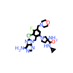 Nc1ncnc2c1ncn2Cc1c(N2CCC(N)(C(=O)NC3CC3)C2)cc(CN2CCOCC2)c(F)c1Cl